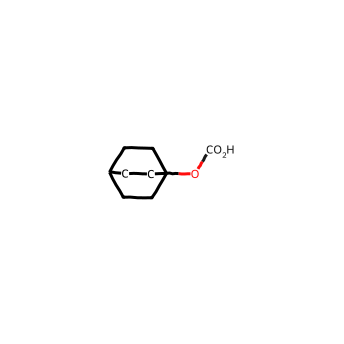 O=C(O)OC12CCC(CC1)CC2